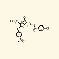 C[S+]([O-])c1ccc(OC2=C(C(=O)O)N3C(=O)[C@H](CCOC(=O)c4ccc(Cl)cc4)[C@H]3S2)cc1